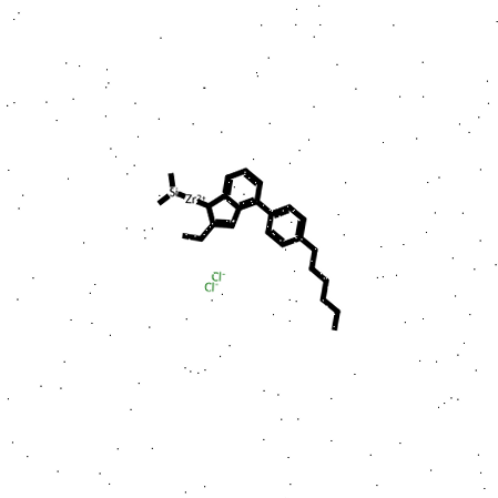 CCCCCCc1ccc(-c2cccc3c2C=C(CC)[CH]3[Zr+2][Si](C)C)cc1.[Cl-].[Cl-]